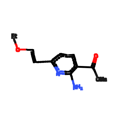 CCOC=Cc1ccc(C(=O)OC)c(N)n1